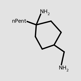 CCCCCC1(N)CCC(CN)CC1